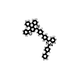 c1ccc(-c2ccc(-c3nc(-c4ccc(-c5ccc(-c6nc7ccccc7c7c(-c8ccccc8)c8c(cc67)oc6ccccc68)cc5)cc4)c4ccccc4n3)cc2)cc1